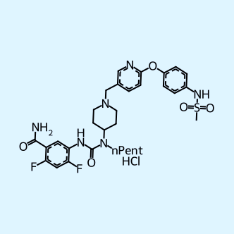 CCCCCN(C(=O)Nc1cc(C(N)=O)c(F)cc1F)C1CCN(Cc2ccc(Oc3ccc(NS(C)(=O)=O)cc3)nc2)CC1.Cl